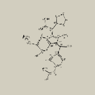 COc1cc2c(C(C(=O)O)C3CCCC3)c(C)n(C(=O)c3ccc(OC(F)F)cc3)c2cc1F